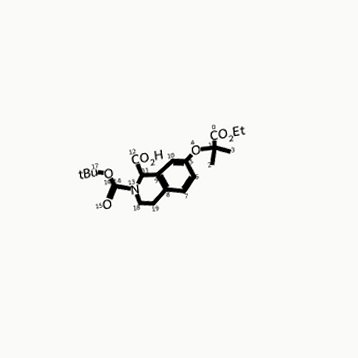 CCOC(=O)C(C)(C)Oc1ccc2c(c1)C(C(=O)O)N(C(=O)OC(C)(C)C)CC2